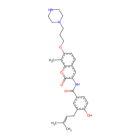 CC(C)=CCc1cc(C(=O)Nc2cc3ccc(OCCCN4CCNCC4)c(C)c3oc2=O)ccc1O